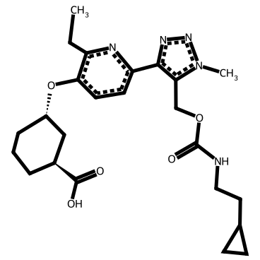 CCc1nc(-c2nnn(C)c2COC(=O)NCCC2CC2)ccc1O[C@H]1CCC[C@H](C(=O)O)C1